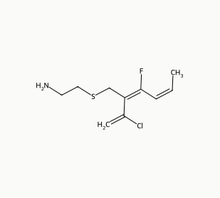 C=C(Cl)/C(CSCCN)=C(F)\C=C/C